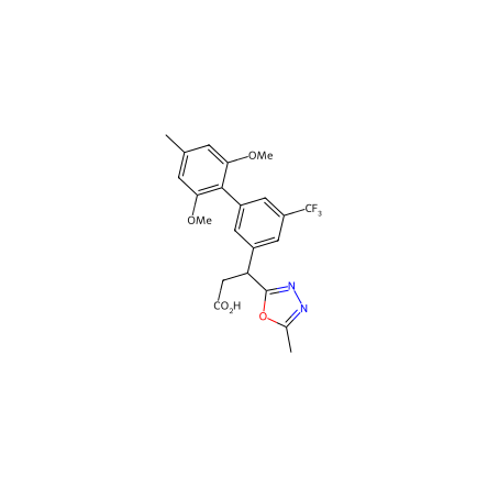 COc1cc(C)cc(OC)c1-c1cc(C(CC(=O)O)c2nnc(C)o2)cc(C(F)(F)F)c1